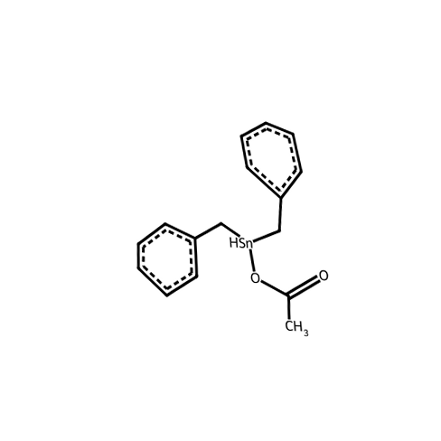 CC(=O)[O][SnH]([CH2]c1ccccc1)[CH2]c1ccccc1